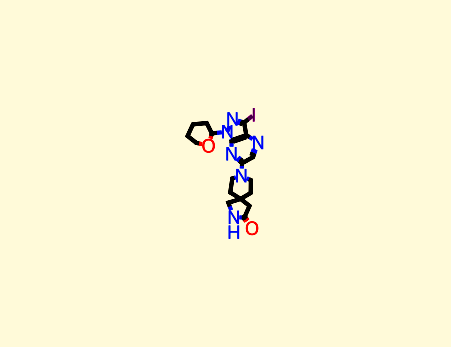 O=C1CC2(CCN(c3cnc4c(I)nn(C5CCCCO5)c4n3)CC2)CN1